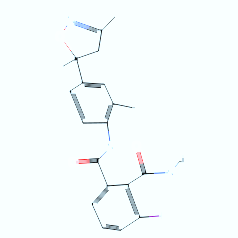 CC1=NOC(c2ccc(NC(=O)c3cccc(I)c3C(=O)NC(C)C)c(C)c2)(C(F)(F)F)C1